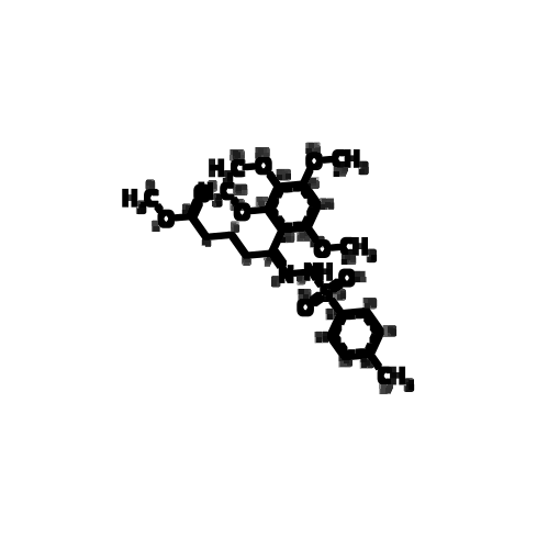 COC(=O)CCC/C(=N/NS(=O)(=O)c1ccc(C)cc1)c1c(OC)cc(OC)c(OC)c1OC